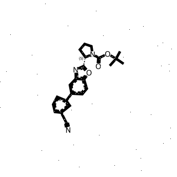 CC(C)(C)OC(=O)N1CCC[C@H]1c1nc2cc(-c3cccc(C#N)c3)ccc2o1